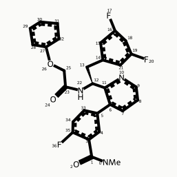 CNC(=O)c1cc(-c2cccnc2[C@H](Cc2cc(F)cc(F)c2)NC(=O)COc2ccccc2)ccc1F